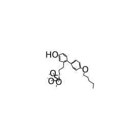 CCCCCOc1ccc(-c2ccc(O)cc2CCC[Si](OC)(OC)OC)cc1